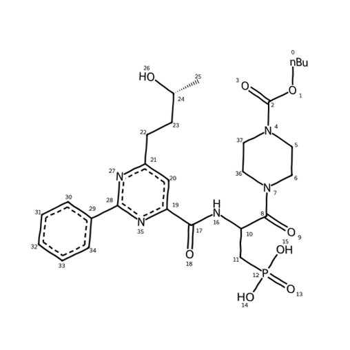 CCCCOC(=O)N1CCN(C(=O)C(CP(=O)(O)O)NC(=O)c2cc(CC[C@@H](C)O)nc(-c3ccccc3)n2)CC1